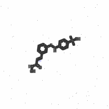 C[Si](C)(O)c1ccc(NSc2cccc(/C=C/C(=O)NO)c2)cc1